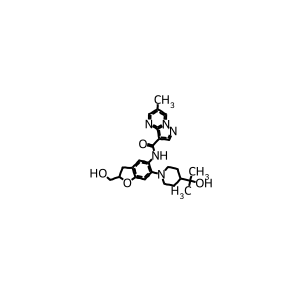 Cc1cnc2c(C(=O)Nc3cc4c(cc3N3CCC(C(C)(C)O)CC3)OC(CO)C4)cnn2c1